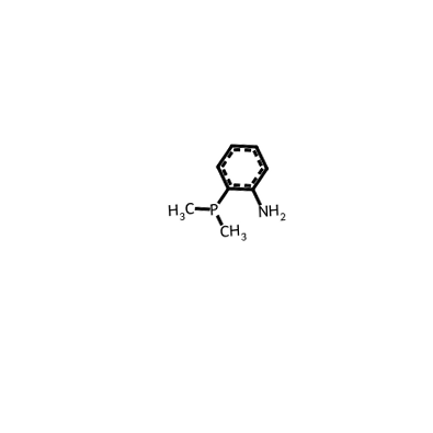 CP(C)c1ccccc1N